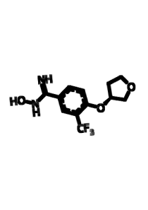 N=C(NO)c1ccc(O[C@H]2CCOC2)c(C(F)(F)F)c1